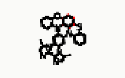 Cc1cnc2c3ncc(C)n3c3cc(N4c5ccccc5Sc5ccccc54)c(N4c5ccccc5Oc5ccccc54)cc3n12